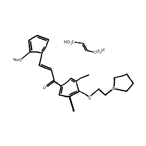 COc1ccccc1C=CC(=O)c1cc(C)c(OCCN2CCCC2)c(C)c1.O=C(O)/C=C/C(=O)O